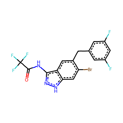 O=C(Nc1n[nH]c2cc(Br)c(Cc3cc(F)cc(F)c3)cc12)C(F)(F)F